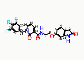 O=C1Cc2ccc(OCCNC(=O)c3cccn(Cc4cc(F)c(F)c(F)c4)c3=O)cc2N1